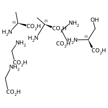 C[C@H](N)C(=O)O.C[C@H](N)C(=O)O.NCC(=O)O.NCC(=O)O.NCC(=O)O.N[C@@H](CO)C(=O)O